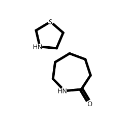 C1CSCN1.O=C1CCCCCN1